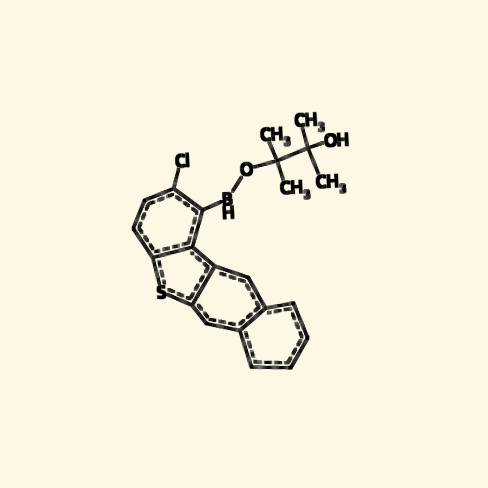 CC(C)(O)C(C)(C)OBc1c(Cl)ccc2sc3cc4ccccc4cc3c12